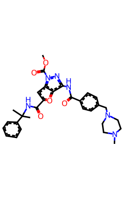 COC(=O)n1nc(NC(=O)c2ccc(CN3CCN(C)CC3)cc2)c2oc(C(=O)NC(C)(C)c3ccccc3)cc21